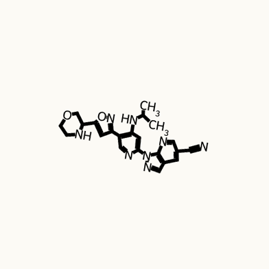 CC(C)Nc1cc(-n2ncc3cc(C#N)cnc32)ncc1-c1cc(C2COCCN2)on1